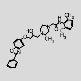 Cc1cccc(C)c1NC(=O)CN1CCN(C[C@H](O)COc2ccc3oc(-c4ccccc4)nc3c2)[C@@H](C)C1